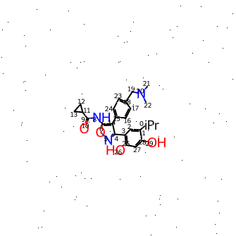 CC(C)c1cc(-c2noc(NC(=O)C3CC3)c2-c2ccc(CN(C)C)cc2)c(O)cc1O